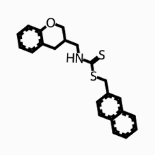 S=C(NCC1COc2ccccc2C1)SCc1ccc2ccccc2c1